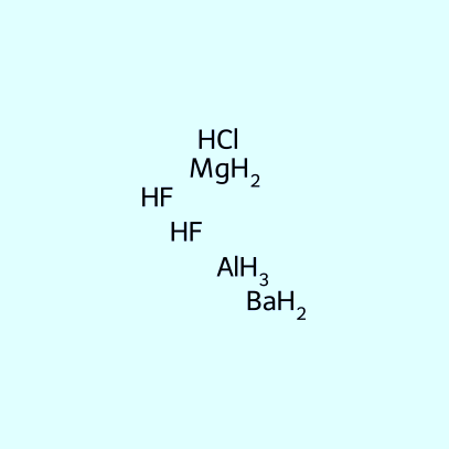 Cl.F.F.[AlH3].[BaH2].[MgH2]